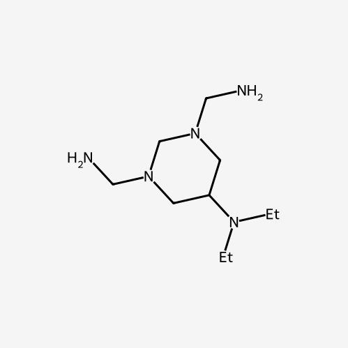 CCN(CC)C1CN(CN)CN(CN)C1